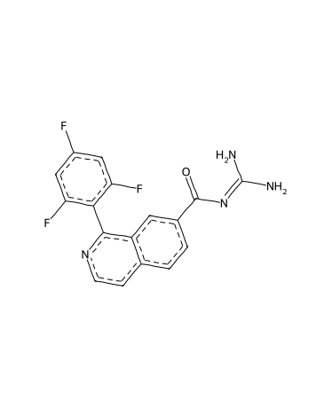 NC(N)=NC(=O)c1ccc2ccnc(-c3c(F)cc(F)cc3F)c2c1